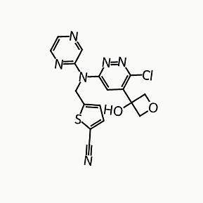 N#Cc1ccc(CN(c2cnccn2)c2cc(C3(O)COC3)c(Cl)nn2)s1